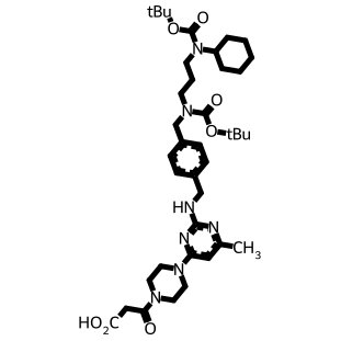 Cc1cc(N2CCN(C(=O)CC(=O)O)CC2)nc(NCc2ccc(CN(CCCN(C(=O)OC(C)(C)C)C3CCCCC3)C(=O)OC(C)(C)C)cc2)n1